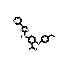 CCc1ccc(Oc2ccc(Nc3nc(-c4cccnc4)cs3)cc2C(C)=O)cc1